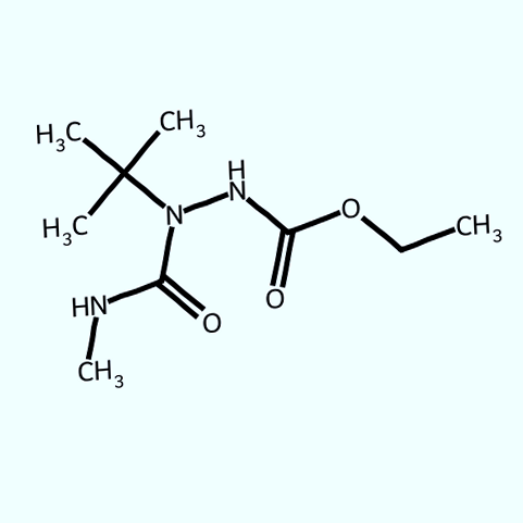 CCOC(=O)NN(C(=O)NC)C(C)(C)C